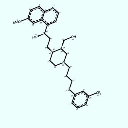 COc1ccc2nccc([C@H](O)CC[C@@H]3CCN(CCCSc4cccc(C(F)(F)F)c4)C[C@@H]3CO)c2c1